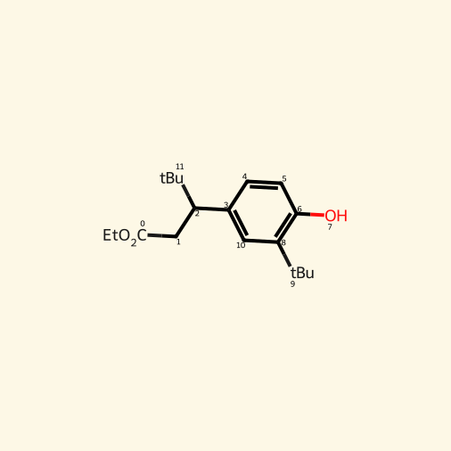 CCOC(=O)CC(c1ccc(O)c(C(C)(C)C)c1)C(C)(C)C